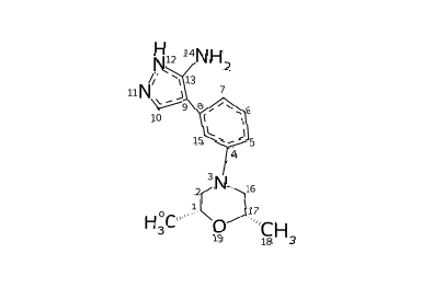 C[C@@H]1CN(c2cccc(-c3cn[nH]c3N)c2)C[C@H](C)O1